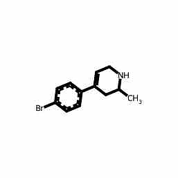 CC1CC(c2ccc(Br)cc2)=CCN1